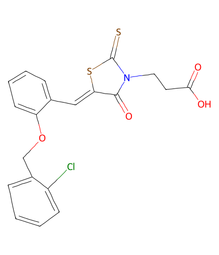 O=C(O)CCN1C(=O)/C(=C/c2ccccc2OCc2ccccc2Cl)SC1=S